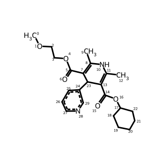 COCCOC(=O)C1=C(C)NC(C)=C(C(=O)OC2CCCCC2)C1c1cccnc1